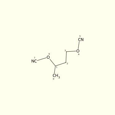 CC(CCOC#N)OC#N